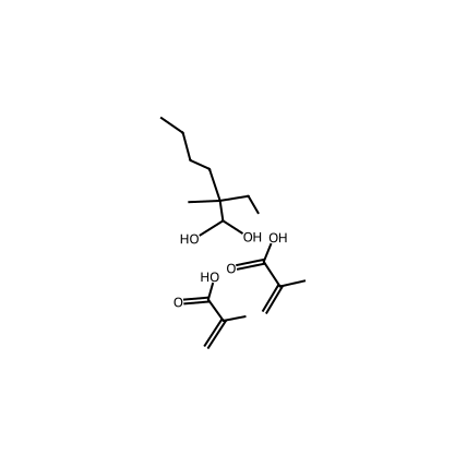 C=C(C)C(=O)O.C=C(C)C(=O)O.CCCCC(C)(CC)C(O)O